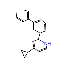 C/C=C\C(=C/C)C1=CC=CC(C2C=C(C3CC3)C=CN2)C1